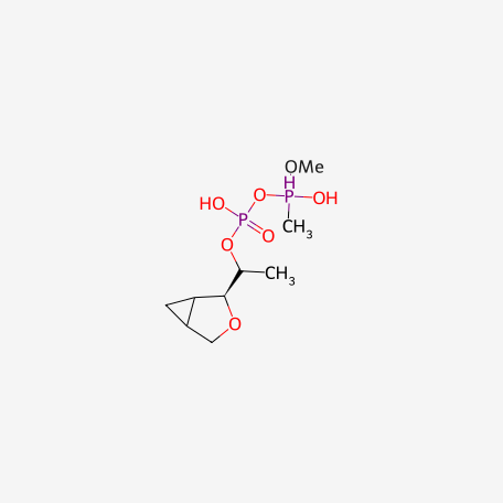 CO[PH](C)(O)OP(=O)(O)OC(C)[C@H]1OCC2CC21